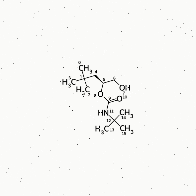 CC(C)(C)C[C@@H](CO)OC(=O)NC(C)(C)C